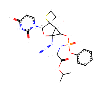 CC(C)OC(=O)[C@H](C)NP(=O)(Oc1ccccc1)OC1C2(N=[N+]=[N-])O[C@@H](n3ccc(=O)[nH]c3=O)[C@@]3(CCS3)[C@@]12O